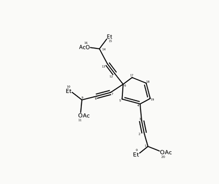 CCC(C#CC1=CC(C#CC(CC)OC(C)=O)(C#CC(CC)OC(C)=O)CC=C1)OC(C)=O